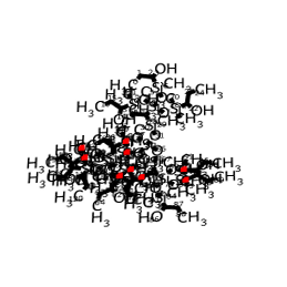 CCC(O)[Si](C)(C)O[Si](O[Si](C)(C)C(O)CC)(O[Si](C)(C)C(O)CC)C(CC)[Si](C)(C)O[Si](O[Si](C)(C)C(CC)[Si](O[Si](C)(C)C(O)CC)(O[Si](C)(C)C(O)CC)O[Si](C)(C)C(O)CC)(O[Si](C)(C)C(CC)[Si](O[Si](C)(C)C(O)CC)(O[Si](C)(C)C(O)CC)O[Si](C)(C)C(O)CC)O[Si](C)(C)C(CC)[Si](O[Si](C)(C)C(O)CC)(O[Si](C)(C)C(O)CC)O[Si](C)(C)C(O)CC